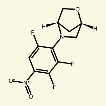 O=[N+]([O-])c1cc(F)c(N2C[C@@H]3C[C@H]2CO3)c(F)c1F